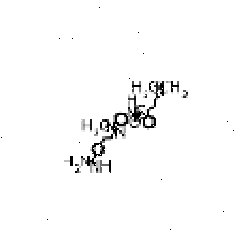 CN(C)CCCCc1ccccc1S(=O)(=O)Nc1ccc2c(c1)nc(CCc1ccc(C(=N)N)cc1)n2C